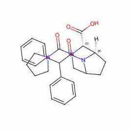 O=C(O)[C@@H]1[C@H]2CCC(CN1C(=O)N1CCCC1)N2C(=O)C(c1ccccc1)c1ccccc1